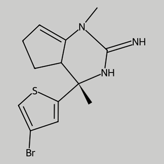 CN1C(=N)N[C@](C)(c2cc(Br)cs2)C2CCC=C21